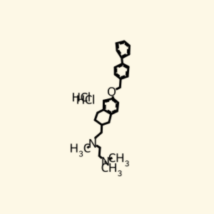 CN(C)CCN(C)CCC1CCc2cc(OCc3ccc(-c4ccccc4)cc3)ccc2C1.Cl.Cl